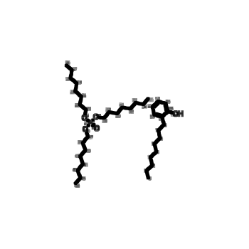 CCCCCCCCCc1ccccc1O.CCCCCCCCOP(=O)(OCCCCCCCC)OCCCCCCCC